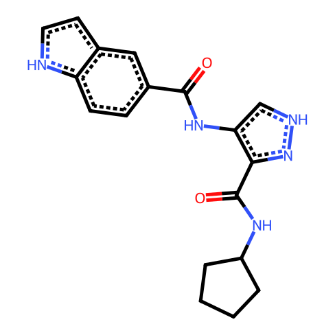 O=C(Nc1c[nH]nc1C(=O)NC1CCCC1)c1ccc2[nH]ccc2c1